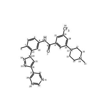 Cc1ccc(NC(=O)c2cc(N3CCN(C)CC3)cc(C(F)(F)F)c2)cc1-n1cc(-c2cncnc2)nn1